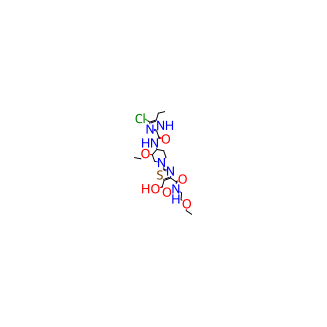 CCOCCNC(=O)c1nc(N2CCC(NC(=O)c3nc(Cl)c(CC)[nH]3)C(OCC)C2)sc1C(=O)O